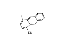 Cc1ccc(C#N)c2cc3ccccc3cc12